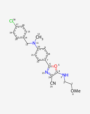 COCCNc1oc(-c2ccc(N(C)Cc3ccc(Cl)cc3)cc2)nc1C#N